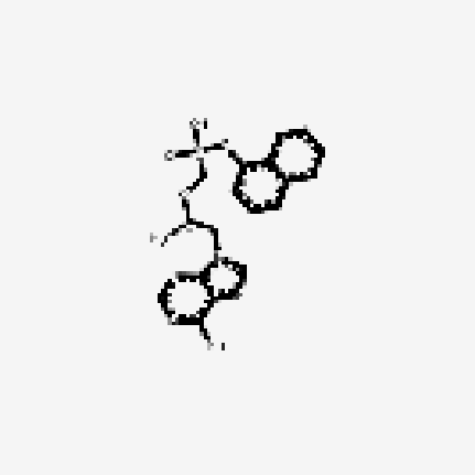 C[C@H](Cn1cnc2c(N)ncnc21)OC[PH](O)(Cl)Oc1cccc2ccccc12